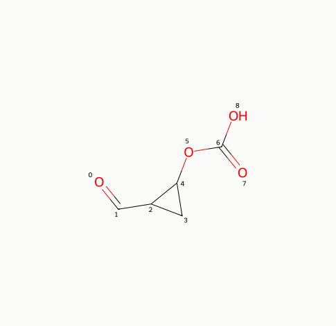 O=CC1CC1OC(=O)O